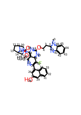 Cn1c(CCOc2nc(N3CC4CCC(C3)N4C(=O)OC(C)(C)C)c3cnc(-c4cc(O)cc5ccccc45)c(F)c3n2)nc2ccccc21